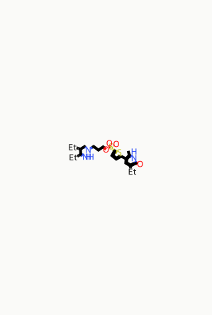 CCC(=N)C(CC)CNCCCOS(=O)(=O)c1ccc(-c2cc(CC)c(=O)[nH]c2C)s1